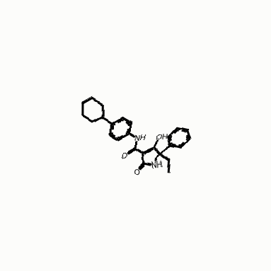 CCC1(c2ccccc2)NC(=O)C(C(=O)Nc2ccc(C3CCCCC3)cc2)=C1O